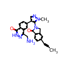 CC#Cc1ccc2c(c1)CN(c1c(-c3ccc4c(=O)[nH]nc(CN)c4c3)cnn1C)C2=O